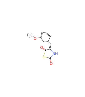 O=C1NC(=Cc2cccc(OC(F)(F)F)c2)C(=O)S1